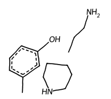 C1CCNCC1.CCCN.Cc1cccc(O)c1